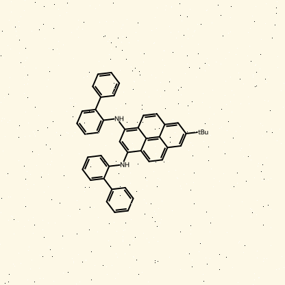 CC(C)(C)c1cc2ccc3c(Nc4ccccc4-c4ccccc4)cc(Nc4ccccc4-c4ccccc4)c4ccc(c1)c2c34